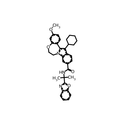 COc1ccc2c(c1)OCCn1c-2c(C2CCCCC2)c2ccc(C(=O)NC(C)(C)c3nc4ccccc4o3)cc21